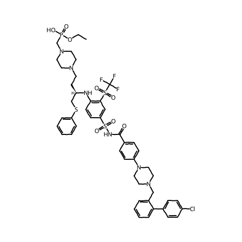 CCOP(=O)(O)CN1CCN(CC[C@H](CSc2ccccc2)Nc2ccc(S(=O)(=O)NC(=O)c3ccc(N4CCN(Cc5ccccc5-c5ccc(Cl)cc5)CC4)cc3)cc2S(=O)(=O)C(F)(F)F)CC1